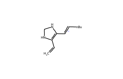 C=CC1=C(/C=C/CCCC)NCN1